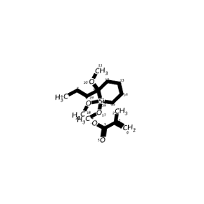 C=C(C)C([O])=O.CCCC1(OC)CCCC[Si]1(OC)OC